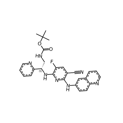 CC(C)(C)OC(=O)NC[C@H](Nc1nc(Nc2ccc3ncccc3c2)c(C#N)cc1F)c1ccccn1